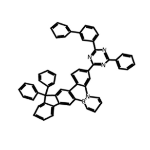 C1=CB2c3cc4c(cc3-c3ccc(-c5nc(-c6ccccc6)nc(-c6cccc(-c7ccccc7)c6)n5)cc3N2C=C1)C(c1ccccc1)(c1ccccc1)c1ccccc1-4